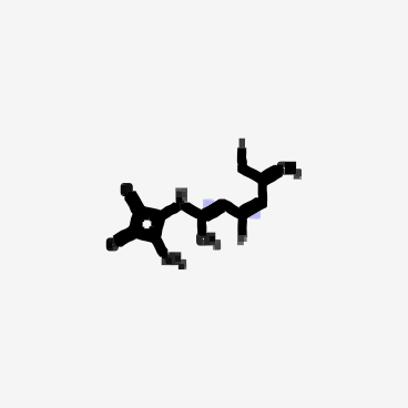 C=C(/C=C(F)\C=C(/C)Nc1c(N)c(=O)c1=O)CI